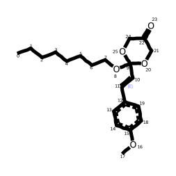 CCCCCCCCOC1(/C=C/c2ccc(OC)cc2)OCC(=O)CO1